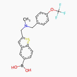 CN(Cc1ccc(OC(F)(F)F)cc1)Cc1cc2cc(B(O)O)ccc2s1